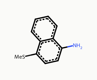 CSc1ccc(N)c2ccccc12